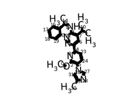 COc1nc(-c2cc(C(C)C)c(N[C@@H](C)c3ccccc3)nn2)ccc1-n1cnc(C)c1